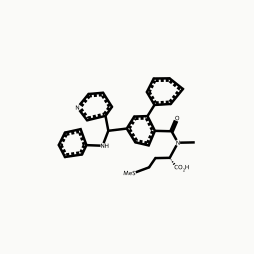 CSCC[C@@H](C(=O)O)N(C)C(=O)c1ccc(C(Nc2ccccc2)c2cccnc2)cc1-c1ccccc1